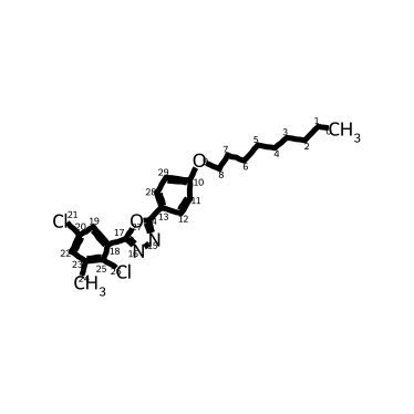 CCCCCCCCCOc1ccc(-c2nnc(-c3cc(Cl)cc(C)c3Cl)o2)cc1